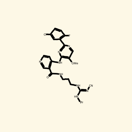 COc1cnc(-c2cc(Cl)ccc2F)nc1Nc1ccncc1C(=O)NCCCN/C(=N\C#N)NC(C)C